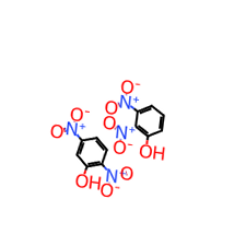 O=[N+]([O-])c1ccc([N+](=O)[O-])c(O)c1.O=[N+]([O-])c1cccc(O)c1[N+](=O)[O-]